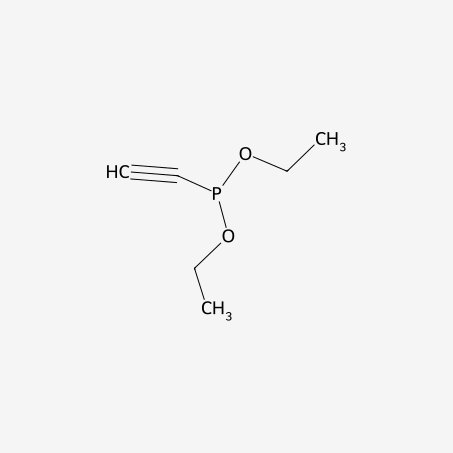 C#CP(OCC)OCC